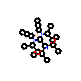 c1ccc(-c2cc(-c3ccccc3)cc(-c3cc(-c4cc5c6c(c4)N(c4cc(-c7ccccc7)cc(-c7ccccc7)c4)c4cc7cc8ccccc8cc7cc4B6c4cc6cc7ccccc7cc6cc4N5c4cc(-c5ccccc5)cc(-c5ccccc5)c4)cc(-c4cc(-c5ccccc5)cc(-c5ccccc5)c4)n3)c2)cc1